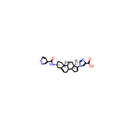 C[C@]12CC[C@H](NC(=O)c3ccnnc3)CC1=CCC1C2CC[C@]2(C)C(n3cnc(C(=O)O)c3)=CCC12